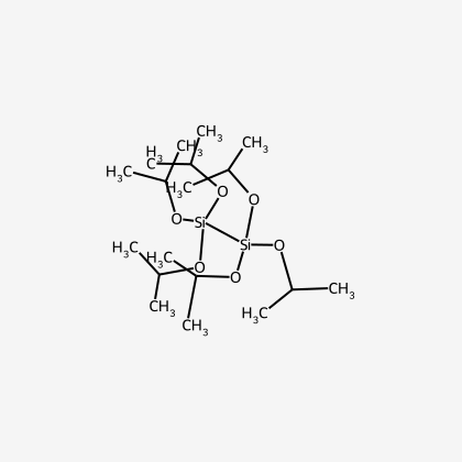 CC(C)O[Si](OC(C)C)(OC(C)C)[Si](OC(C)C)(OC(C)C)OC(C)C